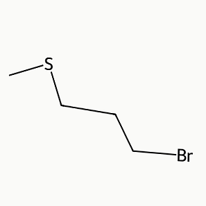 CSCCCBr